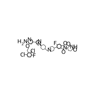 Nc1ncc(-c2cnn(C3CCC(CN4CCC(c5cc6c(cc5F)C(=O)N([C@@H]5CCC(=O)NC5=O)C6=O)CC4)CC3)c2)cc1OCCc1c(Cl)ccc(F)c1Cl